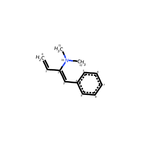 C=CC(=Cc1ccccc1)N(C)C